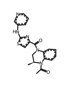 CC(=O)N1c2ccccc2N(C(=O)c2csc(Nc3cccnc3)n2)C[C@@H]1C